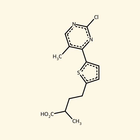 Cc1cnc(Cl)nc1-c1ccc(CCC(C)C(=O)O)s1